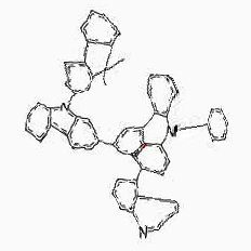 CC1(C)c2ccccc2-c2ccc(-n3c4ccccc4c4ccc(-c5cccc(-c6ccccc6N(c6ccccc6)c6ccc(-c7cccc8ncccc78)cc6)c5)cc43)cc21